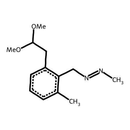 CN=NCc1c(C)cccc1CC(OC)OC